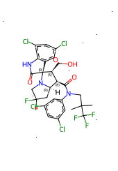 CC(C)(CN(C(=O)[C@H]1[C@H]2CC(F)(F)CN2[C@]2(C(=O)Nc3c(Cl)cc(Cl)cc32)[C@H]1C(=O)O)c1cc(Cl)cc(Cl)c1)C(F)(F)F